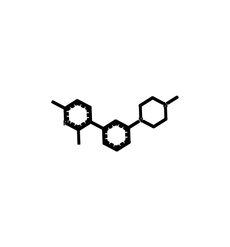 Cc1ccc(-c2cccc(N3CCN(C)CC3)c2)c(C)n1